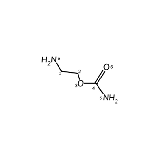 NCCOC(N)=O